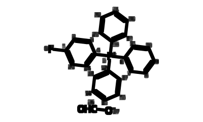 Fc1ccc([P+](c2ccccc2)(c2ccccc2)c2ccccc2)cc1.O=C[O-]